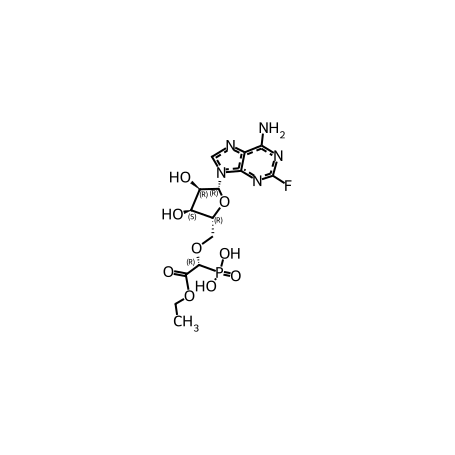 CCOC(=O)[C@H](OC[C@H]1O[C@@H](n2cnc3c(N)nc(F)nc32)[C@H](O)[C@@H]1O)P(=O)(O)O